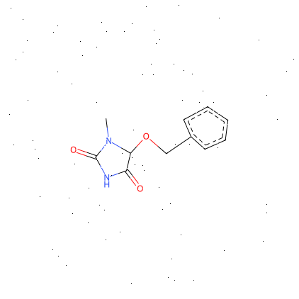 CN1C(=O)NC(=O)C1OCc1ccccc1